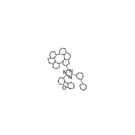 c1ccc(-c2cccc(-c3nc(-c4cc5ccc6cccc7c8cccc9ccc%10cccc(c(c4)c5c67)c%10c98)nc(-c4cccc5oc6ccccc6c45)n3)c2)cc1